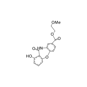 COCCOC(=O)c1ccc2c(c1)NC(=O)c1c(O)cccc1O2